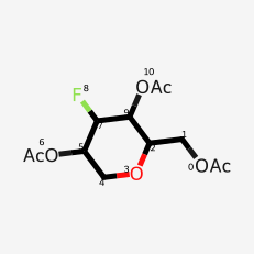 CC(=O)OCC1OCC(OC(C)=O)C(F)C1OC(C)=O